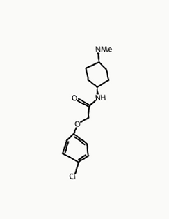 CN[C@H]1CC[C@@H](NC(=O)COc2ccc(Cl)cc2)CC1